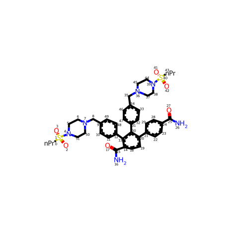 CCCS(=O)(=O)N1CCN(Cc2ccc(-c3c(C(N)=O)ccc(-c4ccc(C(N)=O)cc4)c3-c3ccc(CN4CCN(S(=O)(=O)CCC)CC4)cc3)cc2)CC1